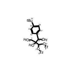 CCOC(OCC)C(O)(CO)C(O)c1ccc(C(C)(C)C)cc1